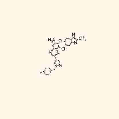 Cc1nc2ccc(Oc3c(C)cc4ncc(-c5cnn(CC6CCNCC6)c5)nc4c3Cl)cc2[nH]1